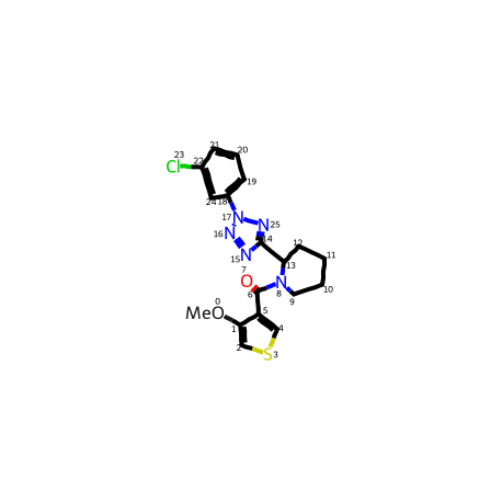 COc1cscc1C(=O)N1CCCCC1c1nnn(-c2cccc(Cl)c2)n1